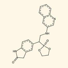 O=C1Cc2cc(C(CNc3cnc4ccccc4c3)P3(=O)OCCO3)ccc2N1